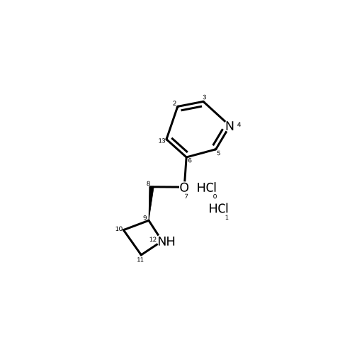 Cl.Cl.c1cncc(OC[C@@H]2CCN2)c1